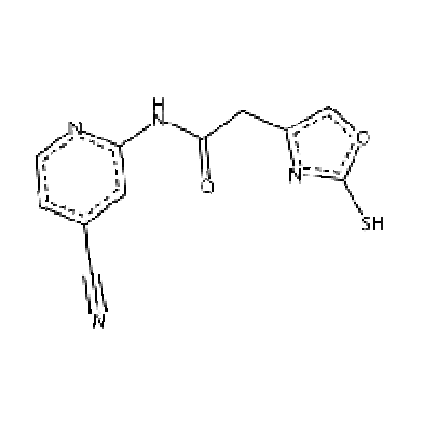 N#Cc1ccnc(NC(=O)Cc2coc(S)n2)c1